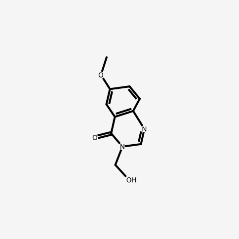 COc1ccc2ncn(CO)c(=O)c2c1